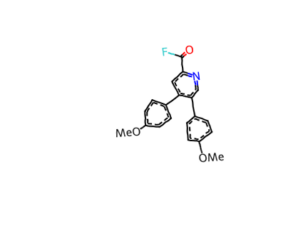 COc1ccc(-c2cnc(C(=O)F)cc2-c2ccc(OC)cc2)cc1